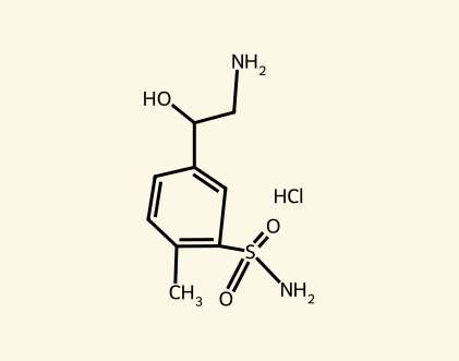 Cc1ccc(C(O)CN)cc1S(N)(=O)=O.Cl